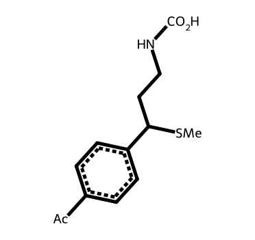 CSC(CCNC(=O)O)c1ccc(C(C)=O)cc1